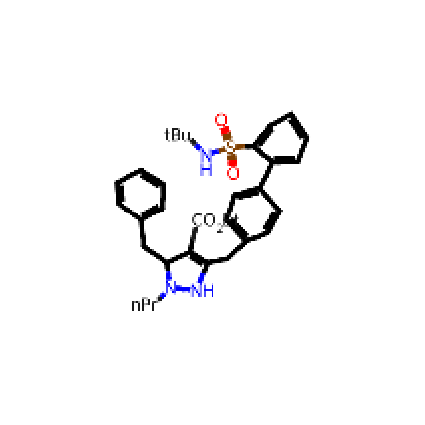 CCCN1NC(Cc2ccc(-c3ccccc3S(=O)(=O)NC(C)(C)C)cc2)=C(C(=O)OCC)C1Cc1ccccc1